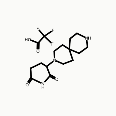 O=C(O)C(F)(F)F.O=C1CCC(N2CCC3(CCNCC3)CC2)C(=O)N1